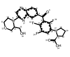 O=C(c1ccc2ncc(N3CCOCC3CO)nc2c1)c1c(F)c(F)cc(N2CCC[C@H]2C(=O)O)c1F